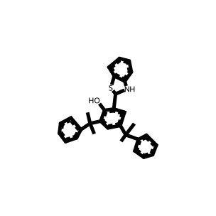 CC(C)(c1ccccc1)c1cc(C2Nc3ccccc3S2)c(O)c(C(C)(C)c2ccccc2)c1